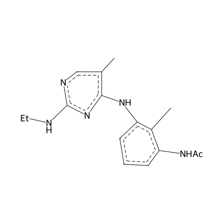 CCNc1ncc(C)c(Nc2cccc(NC(C)=O)c2C)n1